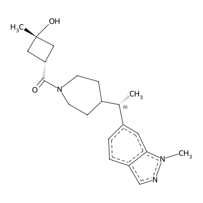 C[C@H](c1ccc2cnn(C)c2c1)C1CCN(C(=O)[C@H]2C[C@@](C)(O)C2)CC1